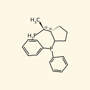 C[C@H](P)[C@@H]1CCCC1P(c1ccccc1)c1ccccc1